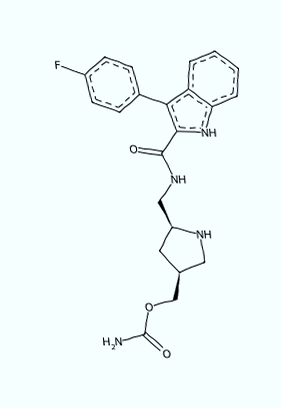 NC(=O)OC[C@@H]1CN[C@H](CNC(=O)c2[nH]c3ccccc3c2-c2ccc(F)cc2)C1